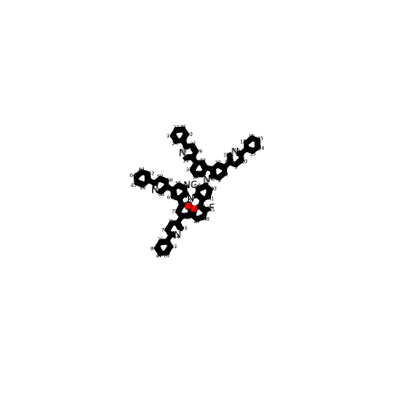 N#Cc1c(-n2c3ccc(-c4ccc(-c5ccccc5)nc4)cc3c3cc(-c4ccc(-c5ccccc5)nc4)ccc32)ccc(-c2c(F)cccc2F)c1-n1c2ccc(-c3ccc(-c4ccccc4)nc3)cc2c2cc(-c3ccc(-c4ccccc4)nc3)ccc21